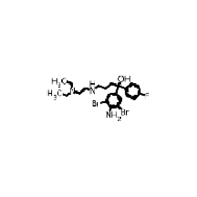 CCN(CC)CCNCCCC(O)(c1ccc(F)cc1)c1cc(Br)c(N)c(Br)c1